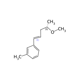 CO[C@@H](C)C/C=C/c1cccc(C)c1